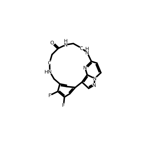 O=C1CCNCc2cc(cc(F)c2F)-c2cnn3ccc(nc23)NCCN1